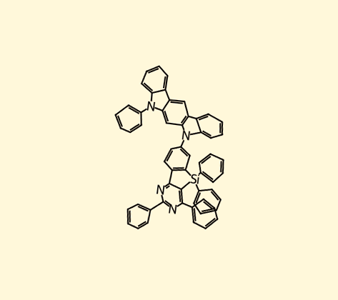 c1ccc(-c2nc(-c3ccccc3)c3c(n2)-c2ccc(-n4c5ccccc5c5cc6c7ccccc7n(-c7ccccc7)c6cc54)cc2[Si]3(c2ccccc2)c2ccccc2)cc1